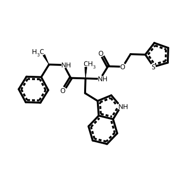 C[C@@H](NC(=O)[C@@](C)(Cc1c[nH]c2ccccc12)NC(=O)OCc1cccs1)c1ccccc1